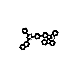 c1ccc(-c2cc(-c3ccc4ccccc4c3)nc(-c3ccc(-c4ccc5c(c4)C4(c6ccccc6-c6ccccc64)c4oc6ccccc6c4-5)cc3)n2)cc1